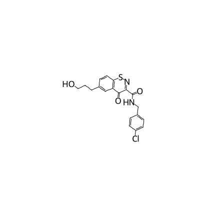 O=C(NCc1ccc(Cl)cc1)c1nsc2ccc(CCCO)cc2c1=O